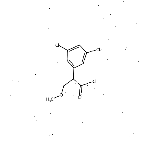 COCC(C(=O)Cl)c1cc(Cl)cc(Cl)c1